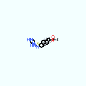 CCC(=O)O[C@H]1CC[C@H]2[C@@H]3CC=C4c5sc(NN6CCNCC6)nc5CC[C@]4(C)[C@H]3CC[C@]12C